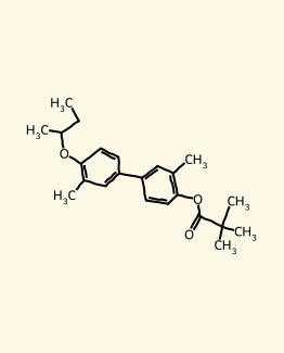 CCC(C)Oc1ccc(-c2ccc(OC(=O)C(C)(C)C)c(C)c2)cc1C